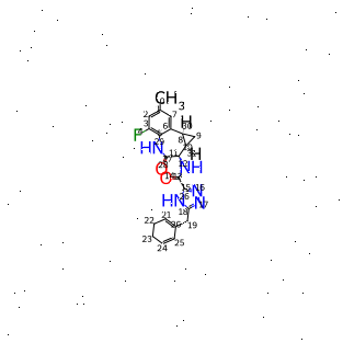 Cc1cc(F)c2c(c1)[C@H]1C[C@H]1[C@@H](NC(=O)c1nnc(CC3=CCCC=C3)[nH]1)C(=O)N2